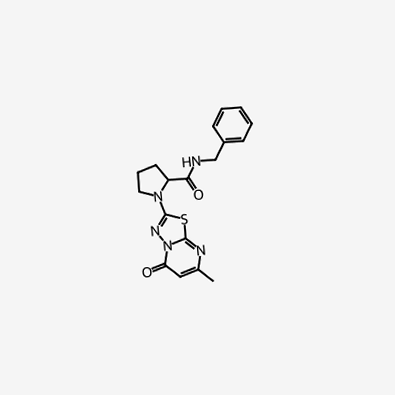 Cc1cc(=O)n2nc(N3CCCC3C(=O)NCc3ccccc3)sc2n1